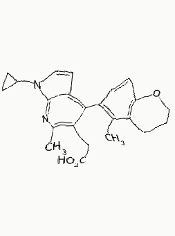 Cc1nc2c(ccn2C2CC2)c(-c2ccc3c(c2C)CCCO3)c1CC(=O)O